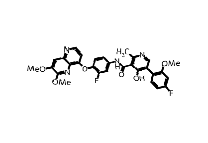 COc1cc(F)ccc1-c1cnc(C)c(C(=O)Nc2ccc(Oc3ccnc4cc(OC)c(OC)nc34)c(F)c2)c1O